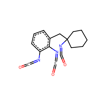 O=C=Nc1cccc(CC2(N=C=O)CCCCC2)c1N=C=O